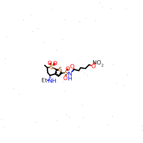 CCN[C@H]1CC(C)S(=O)(=O)c2sc(S(=O)(=O)NC(=O)CCCCO[N+](=O)[O-])cc21